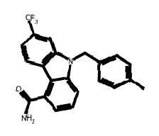 Cc1ccc(Cn2c3cc(C(F)(F)F)c[c]c3c3c(C(N)=O)cccc32)cc1